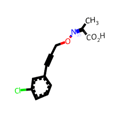 C/C(=N/OCC#Cc1cccc(Cl)c1)C(=O)O